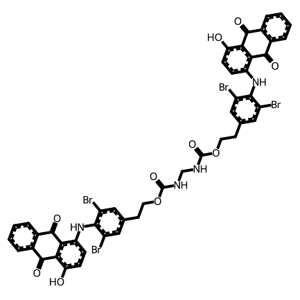 O=C(NCNC(=O)OCCc1cc(Br)c(Nc2ccc(O)c3c2C(=O)c2ccccc2C3=O)c(Br)c1)OCCc1cc(Br)c(Nc2ccc(O)c3c2C(=O)c2ccccc2C3=O)c(Br)c1